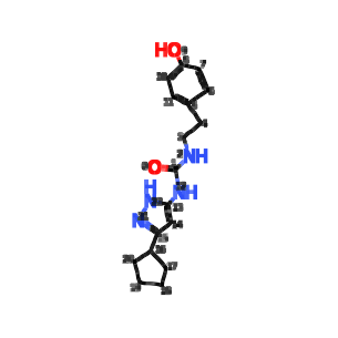 O=C(NCCc1ccc(O)cc1)Nc1cc(C2CCCC2)n[nH]1